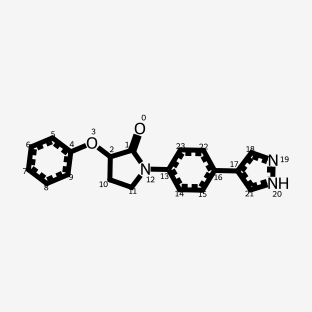 O=C1C(Oc2ccccc2)CCN1c1ccc(-c2cn[nH]c2)cc1